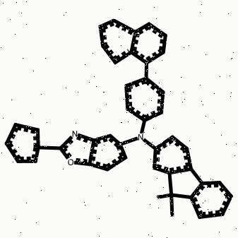 CC1(C)c2ccccc2-c2ccc(N(c3ccc(-c4cccc5ccccc45)cc3)c3ccc4oc(-c5ccccc5)nc4c3)cc21